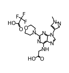 Cn1cc(-n2cnc3c(NCC(=O)O)nc(N4CCOCC4)nc32)cn1.O=C(O)C(F)(F)F